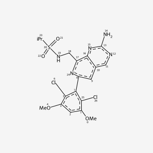 COc1cc(OC)c(Cl)c(-c2cc3cnc(N)nc3c(CNS(=O)(=O)C(C)C)n2)c1Cl